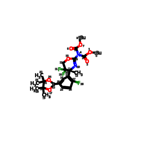 CC(C)(C)OC(=O)N(C(=O)OC(C)(C)C)C1=N[C@](C)(c2cc(B3OC(C)(C)C(C)(C)O3)ccc2F)C(F)(F)CO1